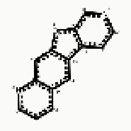 c1cnc2cc3oc4cnccc4c3cc2c1